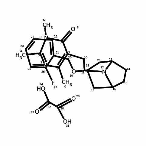 Cc1nc(C)n(C)c(=O)c1CCN1C2CCC1CC(OCc1ccccc1F)C2.O=C(O)C(=O)O